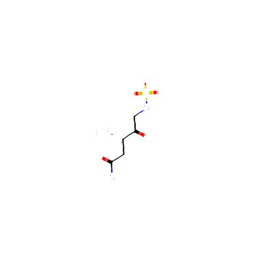 NC(=O)C[C@H](N)C(=O)C[N]S(=O)(=O)O